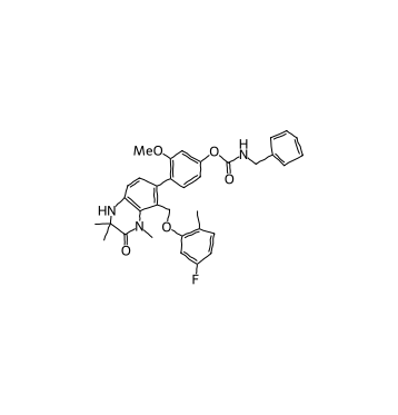 COc1cc(OC(=O)NCc2ccccc2)ccc1-c1ccc2c(c1COc1cc(F)ccc1C)N(C)C(=O)C(C)(C)N2